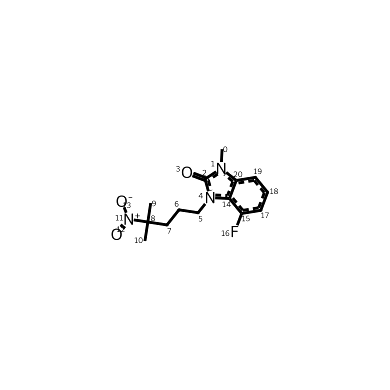 Cn1c(=O)n(CCCC(C)(C)[N+](=O)[O-])c2c(F)cccc21